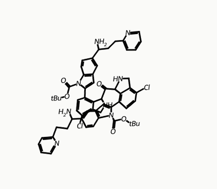 CC(C)(C)OC(=O)n1c(-c2ccc(Cl)c3c2C(C(=O)C2NCc4c(Cl)ccc(-c5cc6cc(C(N)CCc7ccccn7)ccc6n5C(=O)OC(C)(C)C)c42)NC3)cc2cc(C(N)CCc3ccccn3)ccc21